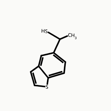 CC(S)c1ccc2sccc2c1